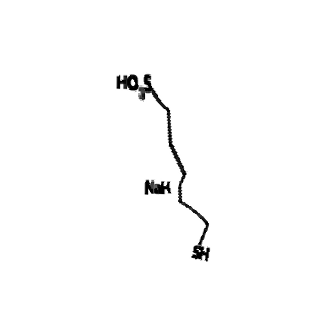 O=S(=O)(O)CCCCCS.[NaH]